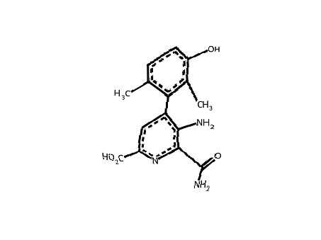 Cc1ccc(O)c(C)c1-c1cc(C(=O)O)nc(C(N)=O)c1N